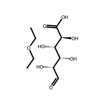 CCOCC.O=C[C@H](O)[C@@H](O)[C@H](O)[C@H](O)C(=O)O